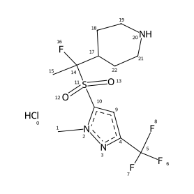 Cl.Cn1nc(C(F)(F)F)cc1S(=O)(=O)C(C)(F)C1CCNCC1